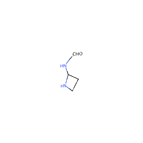 O=CNC1CCN1